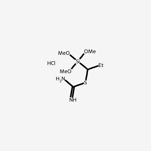 CCC(SC(=N)N)[Si](OC)(OC)OC.Cl